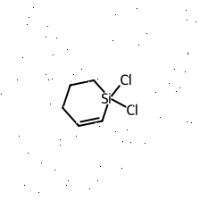 Cl[Si]1(Cl)C=CCCC1